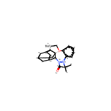 COCOc1ccccc1N1N(C2C3CC4CC(C3)CC2C4)C(=O)C1(C)C